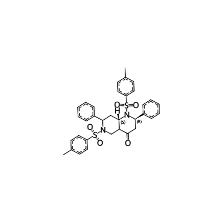 Cc1ccc(S(=O)(=O)N2CC3C(=O)C[C@H](c4ccccc4)N(S(=O)(=O)c4ccc(C)cc4)[C@H]3CC2c2ccccc2)cc1